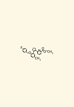 CCOC(=O)c1cccc(C2=C(c3cc(C)ccc3OCc3ccc(F)cc3)CCC2)n1